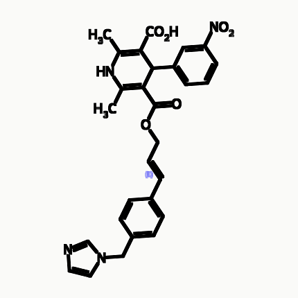 CC1=C(C(=O)O)C(c2cccc([N+](=O)[O-])c2)C(C(=O)OC/C=C/c2ccc(Cn3ccnc3)cc2)=C(C)N1